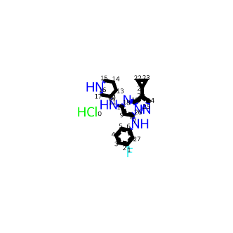 Cl.Fc1cccc(Nc2cc(N[C@H]3CCCNC3)nc3c(C4CC4)cnn23)c1